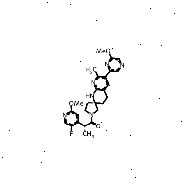 COc1cc([C@@H](C)C(=O)N2CC[C@@]3(CCc4cc(-c5cncc(OC)n5)c(C)nc4N3)C2)c(F)cn1